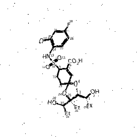 CC[C@@H](O)[C@H]1OC2(C=C(C(=O)O)C(S(=O)(=O)Nc3ccc(F)cc3Cl)CC2)O[C@]1(CC)[C@H](O)CC